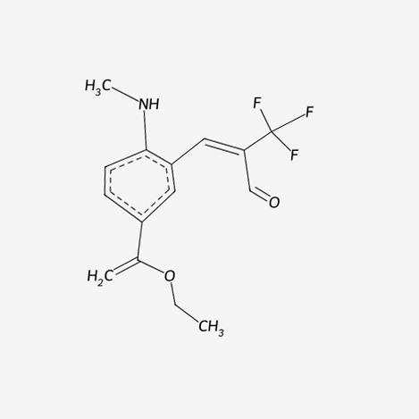 C=C(OCC)c1ccc(NC)c(/C=C(\C=O)C(F)(F)F)c1